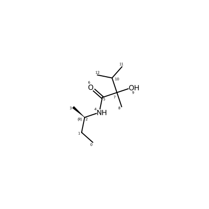 CC[C@@H](C)NC(=O)C(C)(O)C(C)C